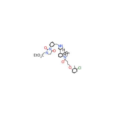 CCOC(=O)CN1CCC(=O)N(c2cccc(Cn3cc(-c4cccc5c4[C@H]4C[C@H]4CN5C(=O)CCCOc4cccc(Cl)c4C)cn3)c2)C1=O